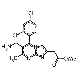 COC(=O)Cc1cn2c(-c3ccc(Cl)cc3Cl)c(CN)c(C)nc2n1